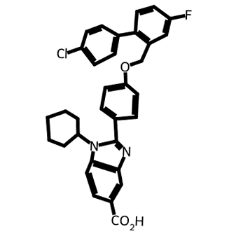 O=C(O)c1ccc2c(c1)nc(-c1ccc(OCc3cc(F)ccc3-c3ccc(Cl)cc3)cc1)n2C1CCCCC1